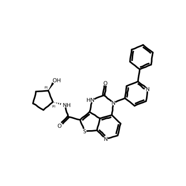 O=C(N[C@@H]1CCC[C@H]1O)c1sc2nccc3c2c1NC(=O)N3c1ccnc(-c2ccccc2)c1